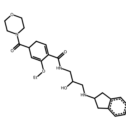 CCOC1=CC(C(=O)N2CCOCC2)CC=C1C(=O)NCC(O)CNC1Cc2ccccc2C1